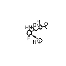 CC(=O)c1c[nH]c(C=C2C(=O)Nc3ccc(F)c(C#CC4CCCN4)c32)c1